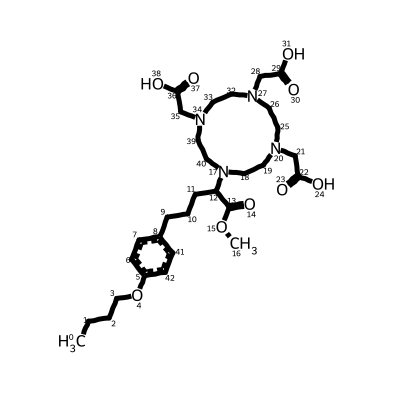 CCCCOc1ccc(CCCC(C(=O)OC)N2CCN(CC(=O)O)CCN(CC(=O)O)CCN(CC(=O)O)CC2)cc1